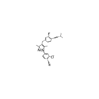 Cc1nn(-c2ccc(C#N)c(Cl)c2)c(C)c1Cc1ccc(C#CC(C)C)c(F)c1